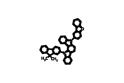 CC1(C)c2ccccc2-c2ccc(-n3c4ccccc4c4ccc5c(c6ccccc6n5-c5ccc6oc7ccccc7c6c5)c43)cc21